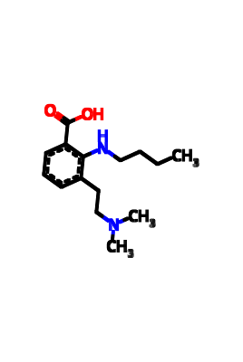 CCCCNc1c(CCN(C)C)cccc1C(=O)O